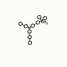 C[Si](c1ccccc1)(c1ccccc1)c1ccc(-c2ccc(N(c3ccc(-c4ccccc4)cc3)c3ccc(-c4ccc(-c5ccccc5)cc4)cc3)cc2)cc1